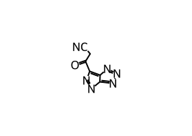 N#CCC(=O)C1=C2N=NN=C2N=N1